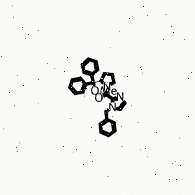 COC(c1ccccc1)(c1ccccc1)[C@@H]1CCCN1C(=O)c1nccn1Cc1ccccc1